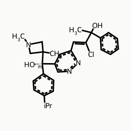 CC(C)c1ccc([C@](O)(c2cnnc(C=C(Cl)C(C)(O)c3ccccc3)c2)C2(C)CN(C)C2)cc1